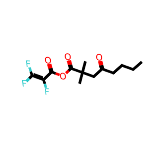 CCCCC(=O)CC(C)(C)C(=O)OC(=O)C(F)=C(F)F